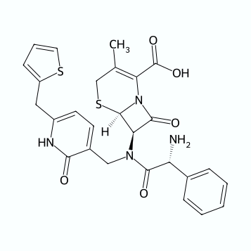 CC1=C(C(=O)O)N2C(=O)[C@@H](N(Cc3ccc(Cc4cccs4)[nH]c3=O)C(=O)[C@H](N)c3ccccc3)[C@H]2SC1